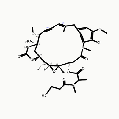 COc1cc2cc(c1Cl)N(C)C(=O)C[C@H](OC(=O)C(C)N(C)C(=O)CCS)[C@]1(C)O[C@H]1[C@H](C)[C@@H]1C[C@@](O)(NC(=O)O1)[C@H](OC)/C=C/C=C(\C)C2